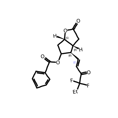 CCC(F)(F)C(=O)/C=C/[C@H]1C(OC(=O)c2ccccc2)C[C@@H]2OC(=O)C[C@@H]21